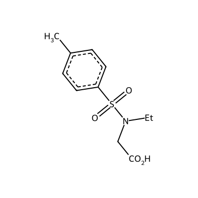 CCN(CC(=O)O)S(=O)(=O)c1ccc(C)cc1